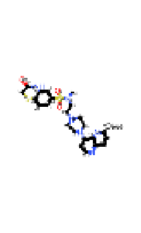 COc1ccc2nccc(N3CCN(CCN(C)S(=O)(=O)c4ccc5c(c4)NC(=O)CS5)CC3)c2n1